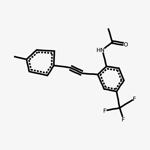 CC(=O)Nc1ccc(C(F)(F)F)cc1C#Cc1ccc(C)cc1